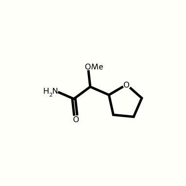 COC(C(N)=O)C1CCCO1